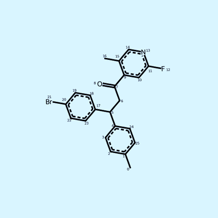 Cc1ccc(C(CC(=O)c2cc(F)ncc2C)c2ccc(Br)cc2)cc1